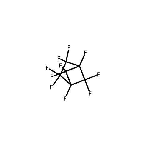 FC1(F)C(F)(F)C2(F)C(F)(F)C1(F)C2(F)F